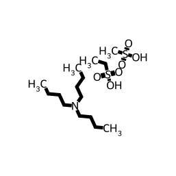 CCCCN(CCCC)CCCC.CCS(=O)(=O)O.CS(=O)(=O)O